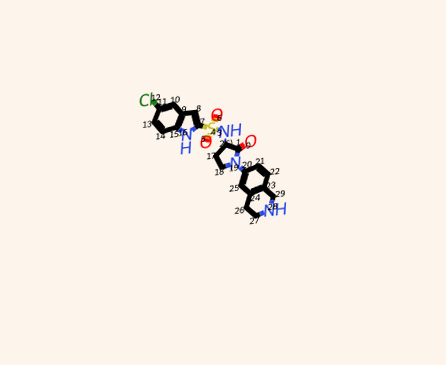 O=C1[C@@H](NS(=O)(=O)c2cc3cc(Cl)ccc3[nH]2)CCN1c1ccc2c(c1)CCNC2